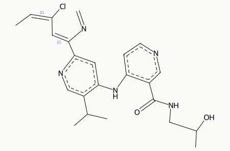 C=N/C(=C\C(Cl)=C/C)c1cc(Nc2ccncc2C(=O)NCC(C)O)c(C(C)C)cn1